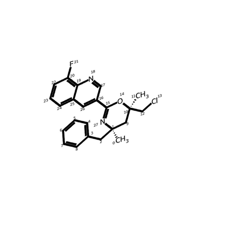 C[C@@]1(Cc2ccccc2)C[C@](C)(CCl)OC(c2cnc3c(F)cccc3c2)=N1